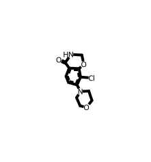 O=C1NCOc2c1ccc(N1CCOCC1)c2Cl